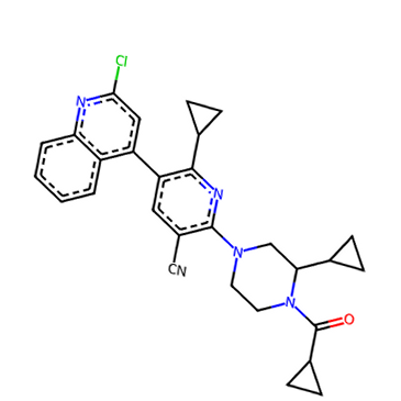 N#Cc1cc(-c2cc(Cl)nc3ccccc23)c(C2CC2)nc1N1CCN(C(=O)C2CC2)C(C2CC2)C1